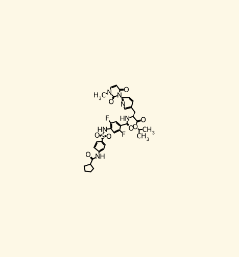 CC(C)OC(=O)[C@H](Cc1ccc(-n2c(=O)ccn(C)c2=O)nc1)NC(=O)c1cc(F)c(NS(=O)(=O)c2ccc(NC(=O)C3CCCC3)cc2)cc1F